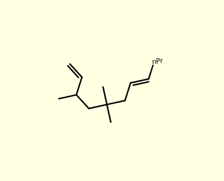 C=CC(C)CC(C)(C)CC=CCCC